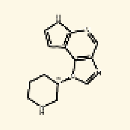 c1cc2c(ncc3ncn([C@@H]4CCCNC4)c32)[nH]1